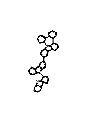 c1ccc2c(c1)-c1ccccc1-n1c3ccc(-c4ccc5c(c4)c4ccccc4n5-c4cccc5c4sc4ccccc45)cc3c3cccc-2c31